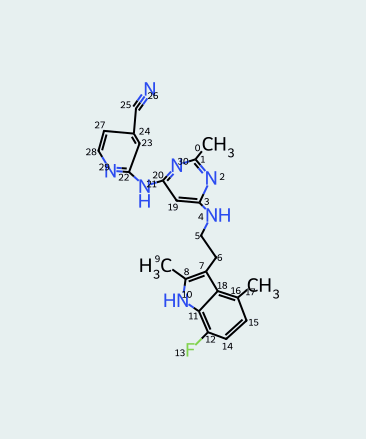 Cc1nc(NCCc2c(C)[nH]c3c(F)ccc(C)c23)cc(Nc2cc(C#N)ccn2)n1